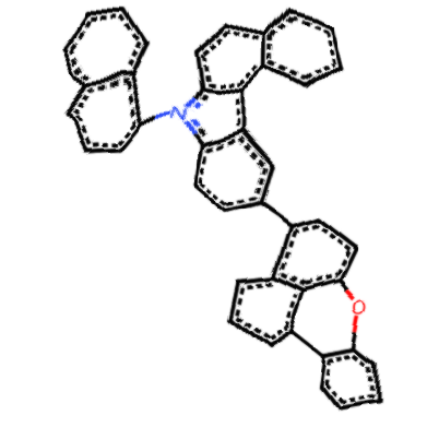 c1ccc2c(c1)Oc1ccc(-c3ccc4c(c3)c3c5ccccc5ccc3n4-c3cccc4ccccc34)c3cccc-2c13